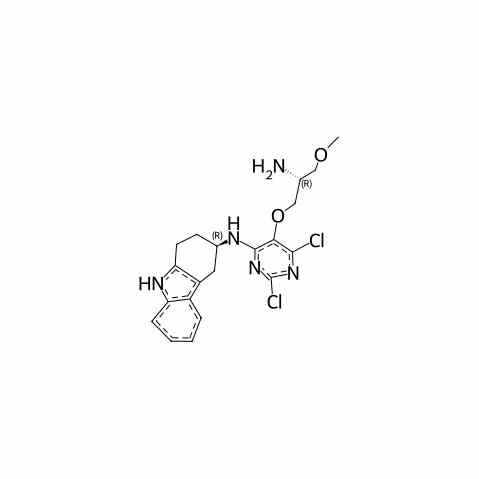 COC[C@@H](N)COc1c(Cl)nc(Cl)nc1N[C@@H]1CCc2[nH]c3ccccc3c2C1